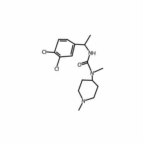 CC(NC(=O)N(C)C1CCN(C)CC1)c1ccc(Cl)c(Cl)c1